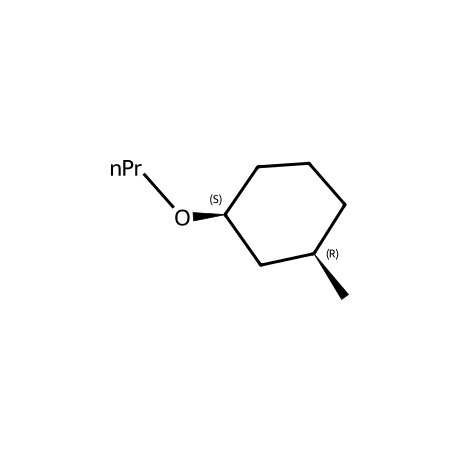 CCCO[C@H]1CCC[C@@H](C)C1